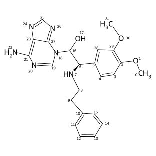 COc1ccc([C@@H](NCCc2ccccc2)C(O)n2cnc(N)c3ncnc2-3)cc1OC